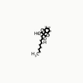 CCCCCCCCCC(C(=O)O)(C(=O)O)c1ccccc1